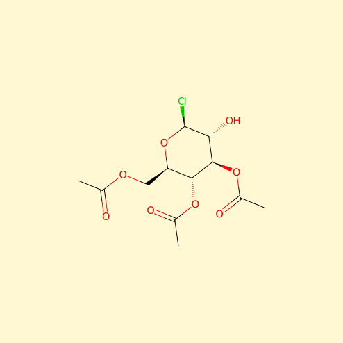 CC(=O)OC[C@H]1O[C@@H](Cl)[C@H](O)[C@@H](OC(C)=O)[C@@H]1OC(C)=O